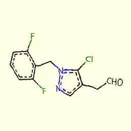 O=CCc1cnn(Cc2c(F)cccc2F)c1Cl